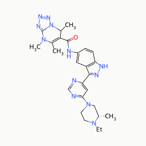 CCN1CCN(c2cc(-c3n[nH]c4ccc(NC(=O)C5=C(C)N(C)c6nnnn6C5C)cc34)ncn2)C[C@@H]1C